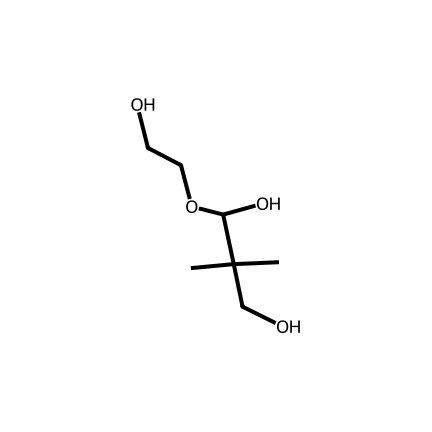 CC(C)(CO)C(O)OCCO